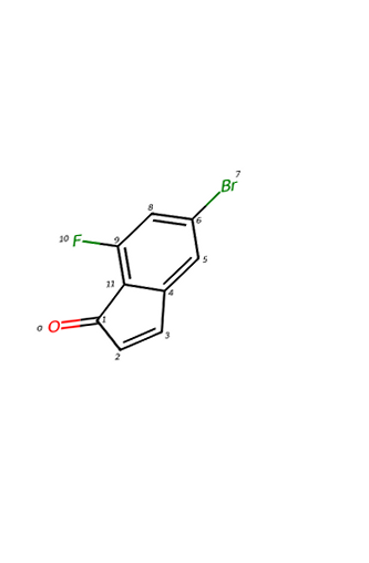 O=C1C=Cc2cc(Br)cc(F)c21